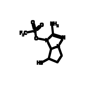 NC1=NN2CCC(S)C2N1OS(=O)(=O)C(F)(F)F